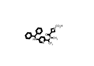 CN(C(=O)C1CN(C(=O)O)C1)C(c1ccc(NC(c2ccccc2)c2ccccc2)cn1)C(F)(F)F